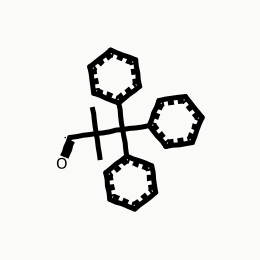 CC(C)([C]=O)C(c1ccccc1)(c1ccccc1)c1ccccc1